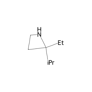 CCC1(C(C)C)CCN1